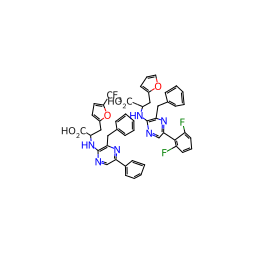 O=C(O)C(Cc1ccc(C(F)(F)F)o1)Nc1ncc(-c2ccccc2)nc1Cc1ccccc1.O=C(O)C(Cc1ccco1)Nc1ncc(-c2c(F)cccc2F)nc1Cc1ccccc1